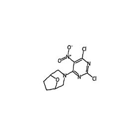 O=[N+]([O-])c1c(Cl)nc(Cl)nc1N1CC2CCC(C1)O2